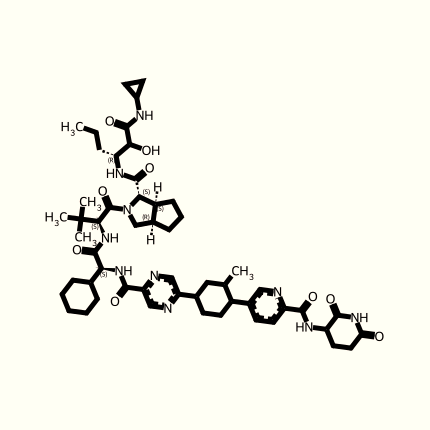 CCC[C@@H](NC(=O)[C@@H]1[C@H]2CCC[C@H]2CN1C(=O)[C@@H](NC(=O)[C@@H](NC(=O)c1cnc(C2CCC(c3ccc(C(=O)NC4CCC(=O)NC4=O)nc3)C(C)C2)cn1)C1CCCCC1)C(C)(C)C)C(O)C(=O)NC1CC1